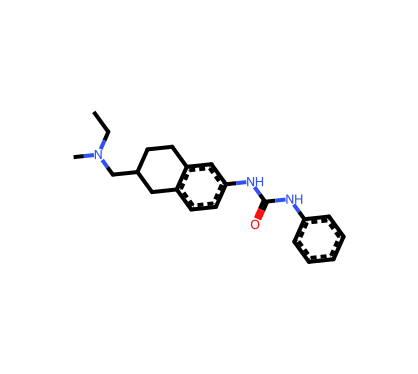 CCN(C)CC1CCc2cc(NC(=O)Nc3ccccc3)ccc2C1